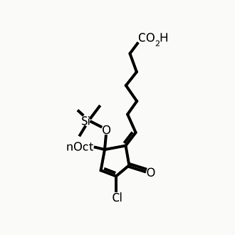 CCCCCCCCC1(O[Si](C)(C)C)C=C(Cl)C(=O)/C1=C/CCCCCC(=O)O